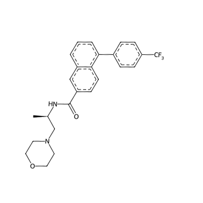 C[C@H](CN1CCOCC1)NC(=O)c1ccc2c(-c3ccc(C(F)(F)F)cc3)cccc2c1